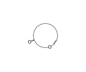 O=C1CCCCCCCCCC=COCCC1